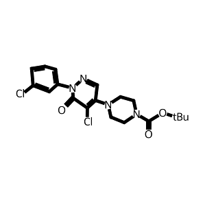 CC(C)(C)OC(=O)N1CCN(c2cnn(-c3cccc(Cl)c3)c(=O)c2Cl)CC1